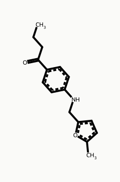 CCCC(=O)c1ccc(NCc2ccc(C)o2)cc1